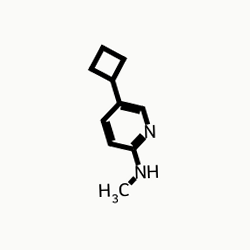 CNc1ccc(C2CCC2)cn1